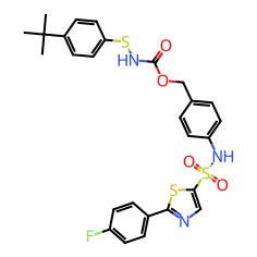 CC(C)(C)c1ccc(SNC(=O)OCc2ccc(NS(=O)(=O)c3cnc(-c4ccc(F)cc4)s3)cc2)cc1